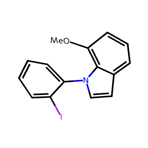 COc1cccc2ccn(-c3ccccc3I)c12